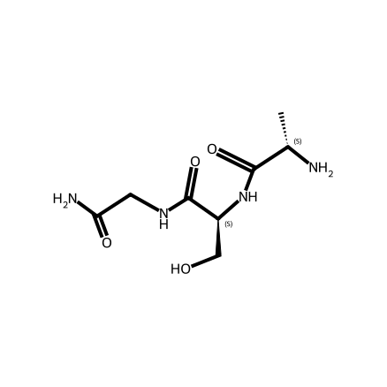 C[C@H](N)C(=O)N[C@@H](CO)C(=O)NCC(N)=O